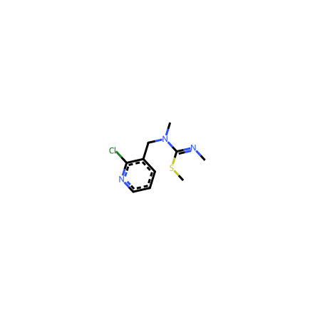 C/N=C(\SC)N(C)Cc1cccnc1Cl